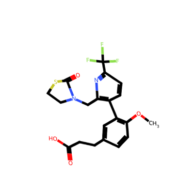 COc1ccc(CCC(=O)O)cc1-c1ccc(C(F)(F)F)nc1CN1CCSC1=O